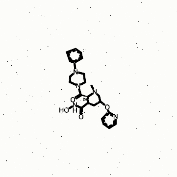 CN1CC(Oc2ccccn2)CC(C(=O)NO)[C@H]1C(=O)N1CCN(c2ccccc2)CC1